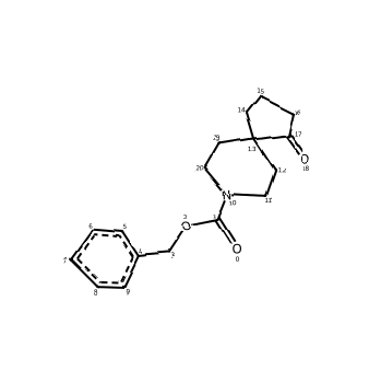 O=C(OCc1ccccc1)N1CCC2(CCCC2=O)CC1